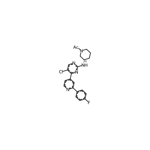 CC(=O)N1CCC[C@H](Nc2ncc(Cl)c(-c3ccnc(-c4ccc(F)cc4)c3)n2)C1